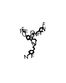 N#Cc1ccc(/C=C/CN2CCc3c(c4ccc(OC(F)(F)F)cc4n3C(=O)NCc3ccnc(F)c3)C2)cc1F